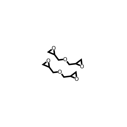 C(OCC1CO1)C1CO1.C(OCC1CO1)C1CO1